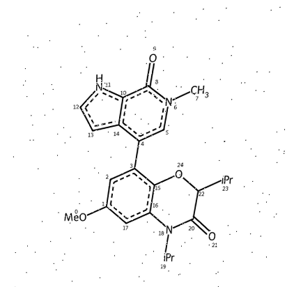 COc1cc(-c2cn(C)c(=O)c3[nH]ccc23)c2c(c1)N(C(C)C)C(=O)C(C(C)C)O2